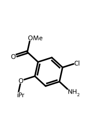 COC(=O)c1cc(Cl)c(N)cc1OC(C)C